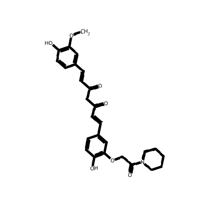 COc1cc(/C=C/C(=O)CC(=O)/C=C/c2ccc(O)c(OCC(=O)N3CCCCC3)c2)ccc1O